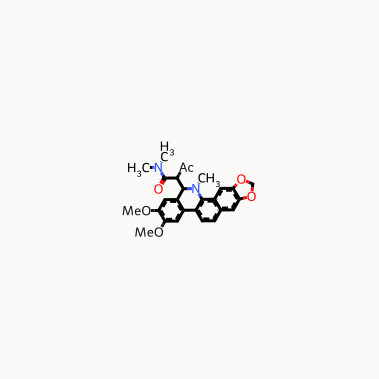 COc1cc2c(cc1OC)C(C(C(C)=O)C(=O)N(C)C)N(C)c1c-2ccc2cc3c(cc12)OCO3